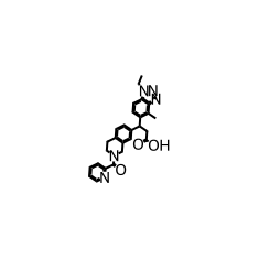 CCn1nnc2c(C)c(C(CC(=O)O)c3ccc4c(c3)CN(C(=O)c3ccccn3)CC4)ccc21